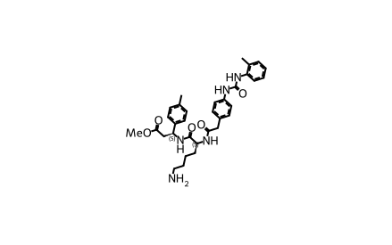 COC(=O)C[C@H](NC(=O)[C@H](CCCCN)NC(=O)Cc1ccc(NC(=O)Nc2ccccc2C)cc1)c1ccc(C)cc1